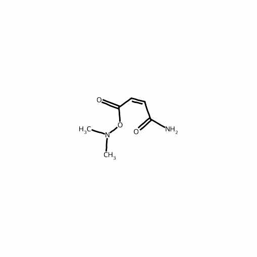 CN(C)OC(=O)/C=C\C(N)=O